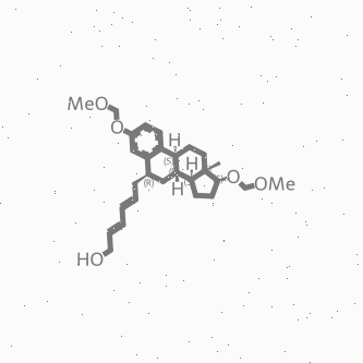 COCOc1ccc2c(c1)[C@H](CC=CC=CCO)C[C@@H]1[C@@H]2CC[C@]2(C)[C@@H](OCOC)CC[C@@H]12